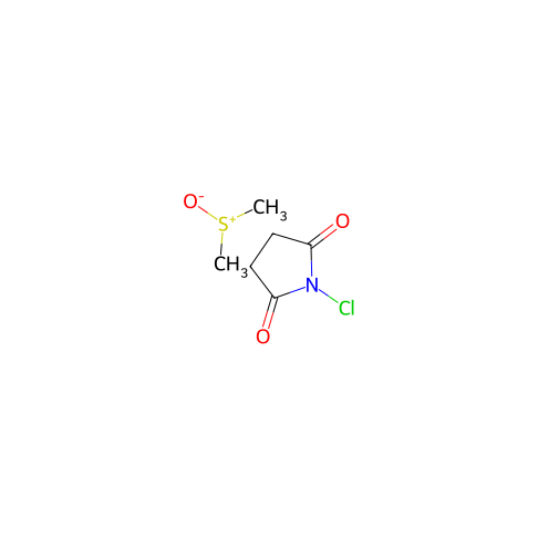 C[S+](C)[O-].O=C1CCC(=O)N1Cl